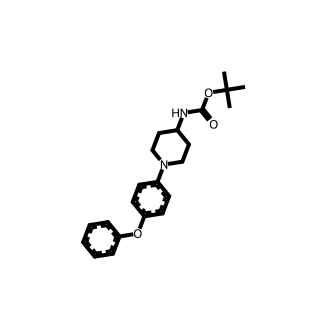 CC(C)(C)OC(=O)NC1CCN(c2ccc(Oc3ccccc3)cc2)CC1